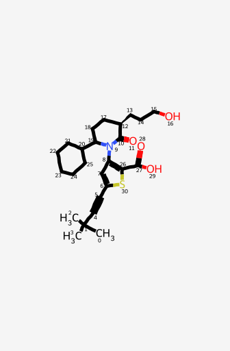 CC(C)(C)C#Cc1cc(N2C(=O)[C@H](CCCO)CCC2C2CCCCC2)c(C(=O)O)s1